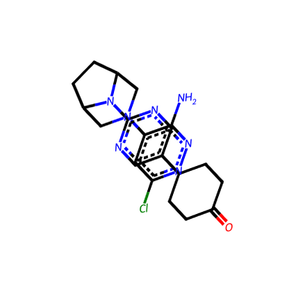 Nc1nnc(Cl)cc1N1CC2CCC(C1)N2c1ncc(C2CCC(=O)CC2)cn1